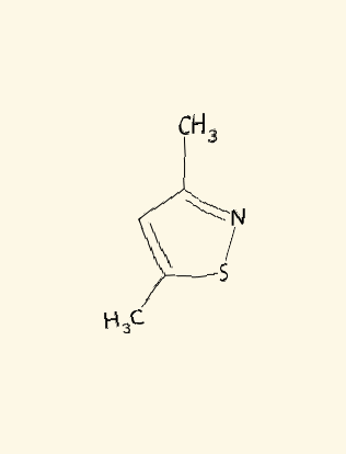 Cc1cc(C)sn1